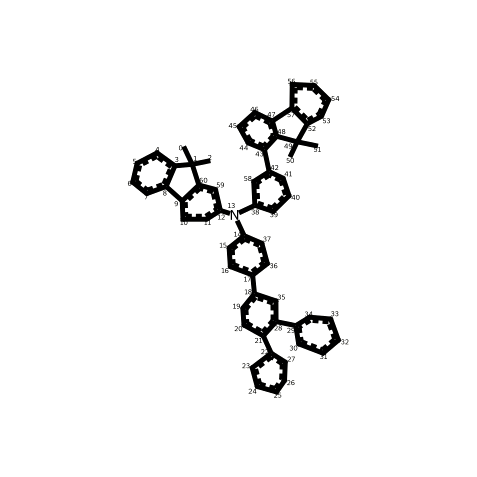 CC1(C)c2ccccc2-c2ccc(N(c3ccc(-c4ccc(-c5ccccc5)c(-c5ccccc5)c4)cc3)c3cccc(-c4cccc5c4C(C)(C)c4ccccc4-5)c3)cc21